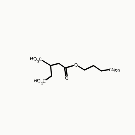 CCCCCCCCCCCCOC(=O)CC(CC(=O)O)C(=O)O